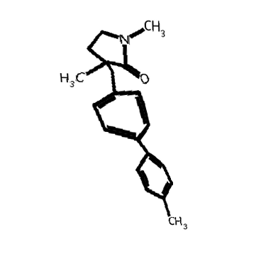 Cc1ccc(-c2ccc(C3(C)CCN(C)C3=O)cc2)cc1